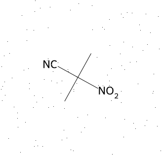 CC(C)(C#N)[N+](=O)[O-]